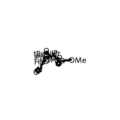 COCCCCOc1ccccc1C(=O)NCC(CC(NC(=O)OC(C)(C)C)C(O)CC(C(=O)NCCCN1CCOCC1)C(C)C)C(C)C